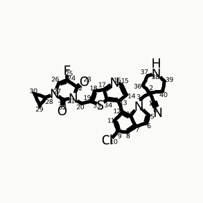 N#CC1(Cn2ccc3cc(Cl)cc(-c4ccnc5cc(Cn6c(=O)c(F)cn(C7CC7)c6=O)sc45)c32)CCNCC1